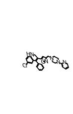 Clc1ccc2c(c1)C(c1ccccc1)=C(c1cc(CN3CCN(c4ccccn4)CC3)no1)CN2